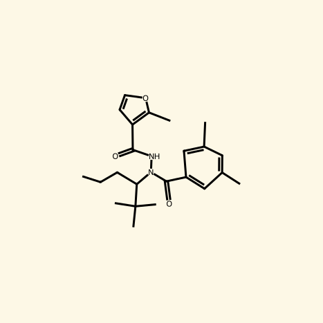 CCCC(N(NC(=O)c1ccoc1C)C(=O)c1cc(C)cc(C)c1)C(C)(C)C